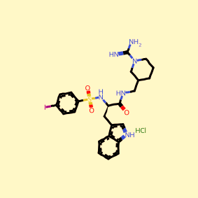 Cl.N=C(N)N1CCCC(CNC(=O)[C@@H](Cc2c[nH]c3ccccc23)NS(=O)(=O)c2ccc(I)cc2)C1